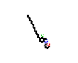 CCCCCCCCCCCCCCc1ccc2c(cnn2C2CCCCO2)c1Cl